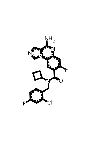 Nc1nc2cc(F)c(C(=O)N(Cc3ccc(F)cc3Cl)C3CCC3)cc2n2cncc12